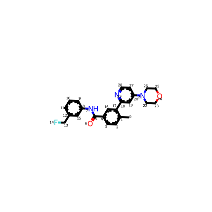 Cc1ccc(C(=O)Nc2cccc(CF)c2)cc1-c1cc(N2CCOCC2)ccn1